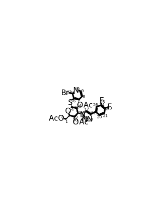 CC(=O)OC[C@H]1O[C@H](Sc2cccnc2Br)[C@H](OC(C)=O)[C@@H](n2cc(-c3ccc(F)c(F)c3)nn2)[C@H]1OC(C)=O